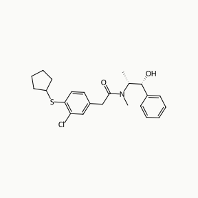 C[C@H]([C@H](O)c1ccccc1)N(C)C(=O)Cc1ccc(SC2CCCC2)c(Cl)c1